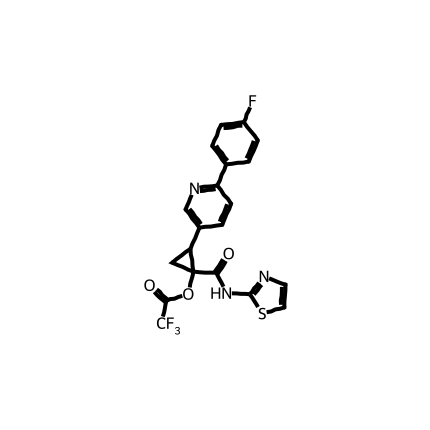 O=C(OC1(C(=O)Nc2nccs2)CC1c1ccc(-c2ccc(F)cc2)nc1)C(F)(F)F